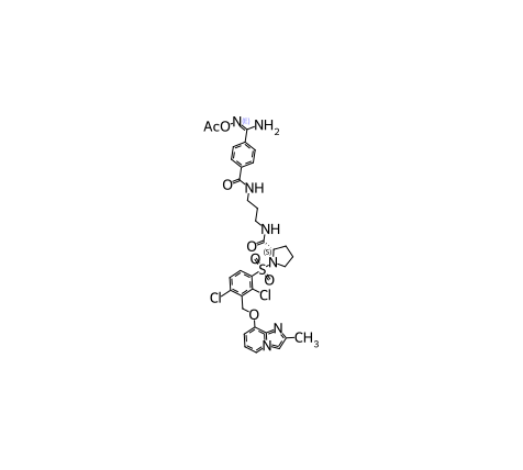 CC(=O)O/N=C(/N)c1ccc(C(=O)NCCCNC(=O)[C@@H]2CCCN2S(=O)(=O)c2ccc(Cl)c(COc3cccn4cc(C)nc34)c2Cl)cc1